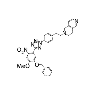 COc1cc([N+](=O)[O-])c(-c2nnn(-c3ccc(CCN4CCc5cnccc5C4)cc3)n2)cc1OCc1ccccc1